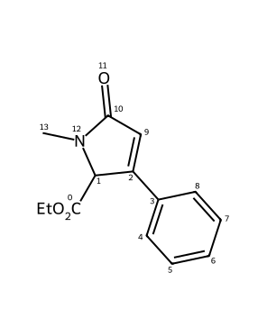 CCOC(=O)C1C(c2ccccc2)=CC(=O)N1C